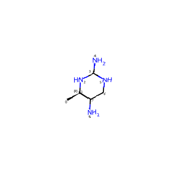 C[C@H]1NC(N)NCC1N